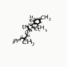 CCc1nc(-c2c(C)cc(C)cc2C)c(CC)nc1OCC(C)CC(C)C